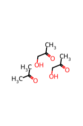 CC(=O)CO.CC(=O)CO.CC(C)=O